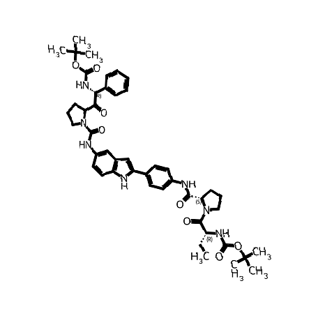 CC[C@@H](NC(=O)OC(C)(C)C)C(=O)N1CCC[C@H]1C(=O)Nc1ccc(-c2cc3cc(NC(=O)N4CCCC4C(=O)[C@H](NC(=O)OC(C)(C)C)c4ccccc4)ccc3[nH]2)cc1